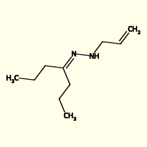 C=CCNN=C(CCC)CCC